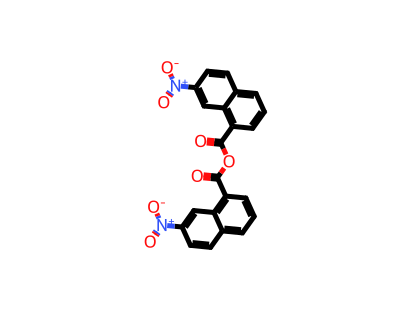 O=C(OC(=O)c1cccc2ccc([N+](=O)[O-])cc12)c1cccc2ccc([N+](=O)[O-])cc12